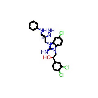 N=N/C(=C\Nc1ccccc1)Cn1c(=N)n(CC(O)c2ccc(Cl)c(Cl)c2)c2ccc(Cl)cc21